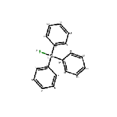 F[Si](c1ccccc1)(c1ccccc1)c1ccccc1